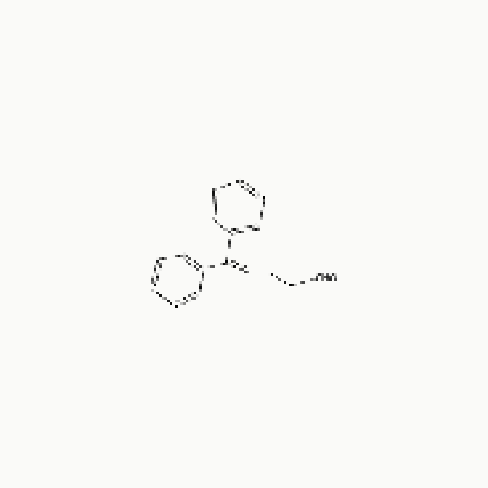 O=CCCC=C(c1ccccc1)c1ccccc1